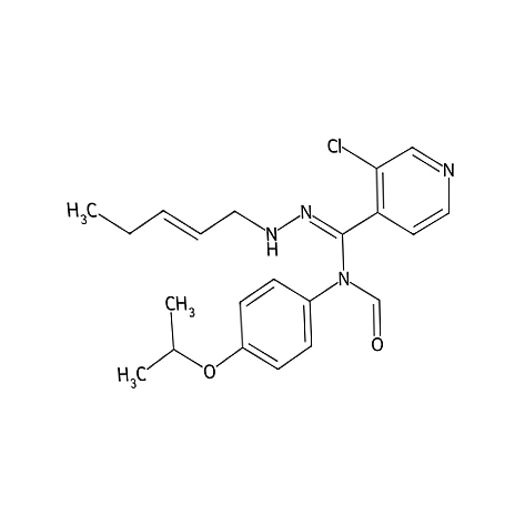 CC/C=C/CN/N=C(/c1ccncc1Cl)N(C=O)c1ccc(OC(C)C)cc1